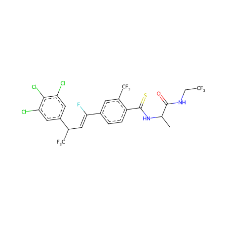 CC(NC(=S)c1ccc(/C(F)=C/C(c2cc(Cl)c(Cl)c(Cl)c2)C(F)(F)F)cc1C(F)(F)F)C(=O)NCC(F)(F)F